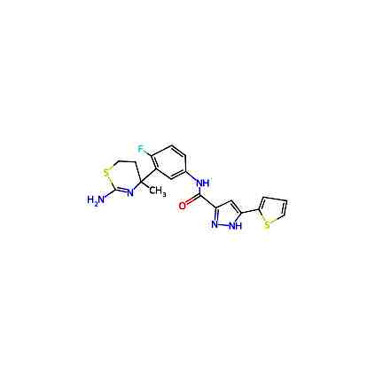 CC1(c2cc(NC(=O)c3cc(-c4cccs4)[nH]n3)ccc2F)CCSC(N)=N1